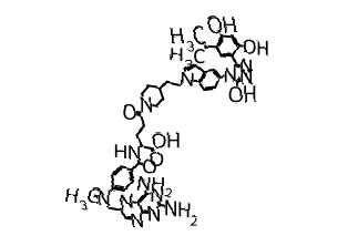 CC(C)c1cc(-c2nnc(O)n2-c2ccc3c(ccn3CCC3CCN(C(=O)CCC(NC(=O)c4ccc(N(C)Cc5cnc6nc(N)nc(N)c6n5)cc4)C(=O)O)CC3)c2)c(O)cc1O